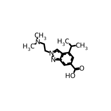 CC(C)c1cc(C(=O)O)cc2nn(CCN(C)C)cc12